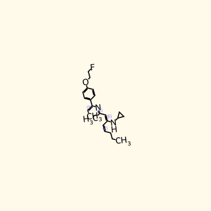 C\C=C(/N=C(C)/C=C(\C=C/CCC)NC1CC1)c1ccc(OCCF)cc1